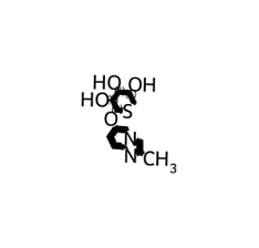 Cc1cn2cc(O[C@@H]3SC[C@@H](O)[C@H](O)[C@H]3O)ccc2n1